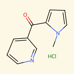 Cl.Cn1cccc1C(=O)c1cccnc1